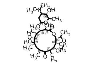 CC1O[C@@H](O[C@H]2[C@H](C)[C@@H](O)[C@](C)(O)C[C@@H](C)C(=O)[C@H](C)[C@@H](O)[C@@H](C)[C@@H](C(C)O)OC(=O)[C@@H]2C)CC(N(C)C)[C@@H]1O